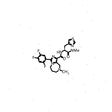 CNC(=O)[C@H](Cc1cscn1)NC(=O)c1nc(-c2cc(F)c(F)cc2F)n2c1CN(C)CCC2